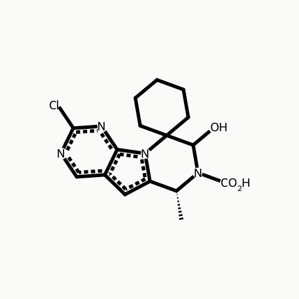 C[C@@H]1c2cc3cnc(Cl)nc3n2C2(CCCCC2)C(O)N1C(=O)O